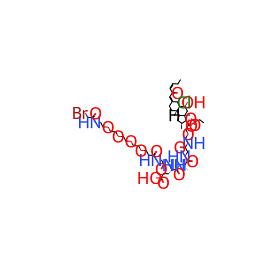 CC/C=C\C(=O)/C=C1/CC[C@H]2C3C[C@H](C)[C@](OC(=O)CC)(C(=O)COCNC(=O)CNC(=O)[C@H](C)NC(=O)[C@H](CCC(=O)O)NC(=O)CNC(=O)CCOCCOCCOCCOCCNC(=O)CBr)[C@@]3(C)C[C@H](O)[C@]2(Cl)C1